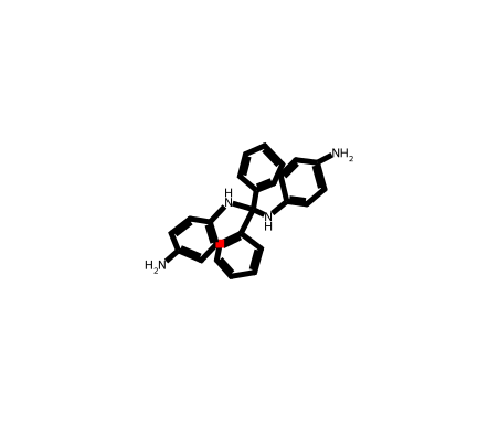 Nc1ccc(NC(Nc2ccc(N)cc2)(c2ccccc2)c2ccccc2)cc1